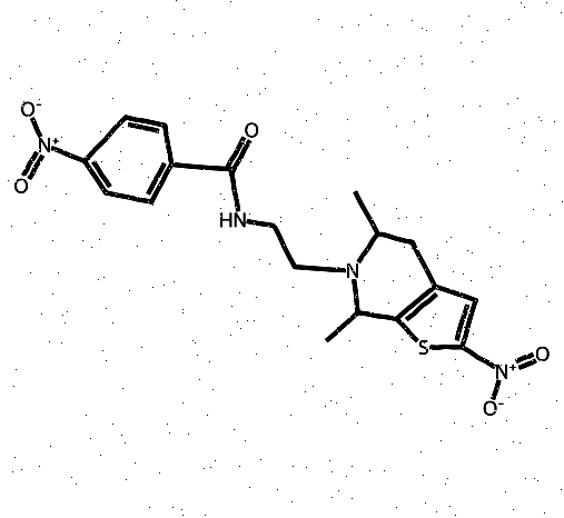 CC1Cc2cc([N+](=O)[O-])sc2C(C)N1CCNC(=O)c1ccc([N+](=O)[O-])cc1